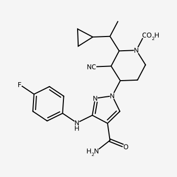 CC(C1CC1)C1C(C#N)C(n2cc(C(N)=O)c(Nc3ccc(F)cc3)n2)CCN1C(=O)O